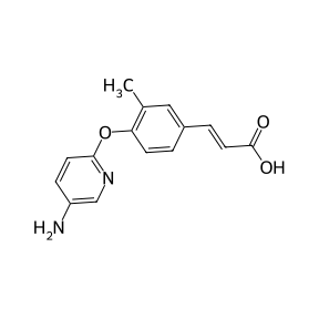 Cc1cc(C=CC(=O)O)ccc1Oc1ccc(N)cn1